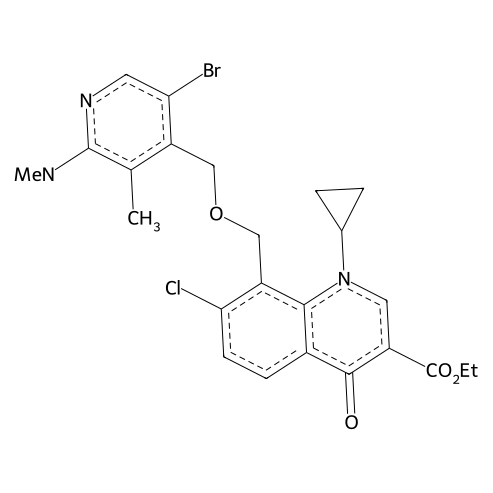 CCOC(=O)c1cn(C2CC2)c2c(COCc3c(Br)cnc(NC)c3C)c(Cl)ccc2c1=O